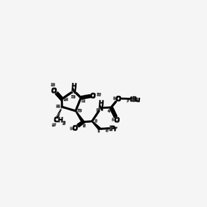 CC(C)C[C@H](NC(=O)OC(C)(C)C)C(=O)[C@@H]1C(=O)NC(=O)[C@H]1C